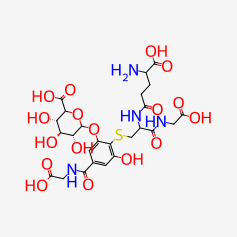 NC(CCC(=O)NC(CSc1c(O)cc(C(=O)NCC(=O)O)cc1OC1OC(C(=O)O)[C@@H](O)[C@H](O)[C@H]1O)C(=O)NCC(=O)O)C(=O)O